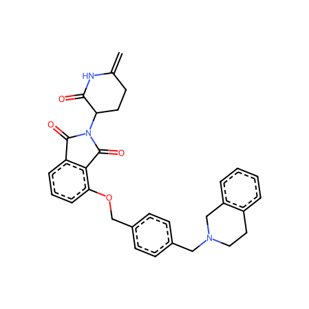 C=C1CCC(N2C(=O)c3cccc(OCc4ccc(CN5CCc6ccccc6C5)cc4)c3C2=O)C(=O)N1